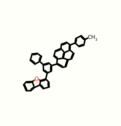 Cc1ccc(-c2ccc3ccc4c(-c5cc(-c6ccccc6)cc(-c6cccc7c6oc6ccccc67)c5)ccc5ccc2c3c54)cc1